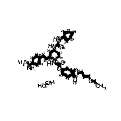 CCOCCCc1nc2cc(OC(=O)NN3CCC(NC(=O)Nc4ccccc4)CC3CCc3ccc(C(=N)N)cc3)ccc2[nH]1.Cl.Cl